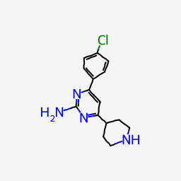 Nc1nc(-c2ccc(Cl)cc2)cc(C2CCNCC2)n1